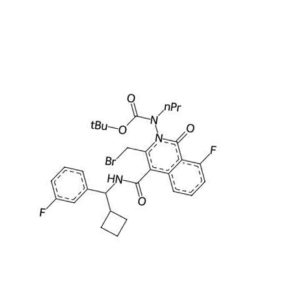 CCCN(C(=O)OC(C)(C)C)n1c(CBr)c(C(=O)NC(c2cccc(F)c2)C2CCC2)c2cccc(F)c2c1=O